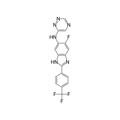 Fc1cc2nc(-c3ccc(C(F)(F)F)cc3)[nH]c2cc1Nc1cncnn1